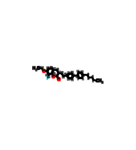 CCCCCc1ccc(-c2ccc(CCC3Cc4ccc(OCC)c(F)c4OC3=O)cc2)cc1